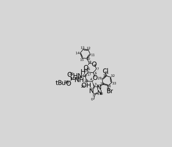 Cc1nc([C@@H]2OC3COC(c4ccccc4)O[C@@H]3C(NNC(=O)OC(C)(C)C)C2O)n(-c2cc(Cl)ccc2Br)n1